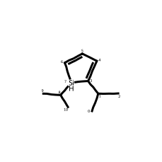 CC(C)C1=CC=C[SiH]1C(C)C